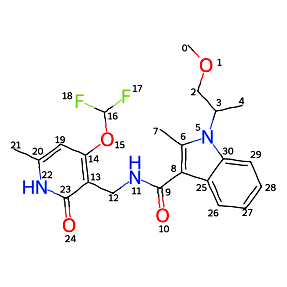 COCC(C)n1c(C)c(C(=O)NCc2c(OC(F)F)cc(C)[nH]c2=O)c2ccccc21